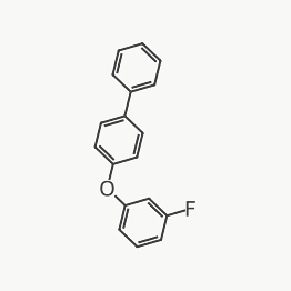 Fc1cccc(Oc2ccc(-c3ccccc3)cc2)c1